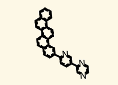 c1ccc2c(c1)ccc1c2ccc2c3cc(-c4ccc(-c5cnccn5)cn4)ccc3ccc21